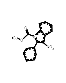 CC(C)(C)OC(=O)n1c(-c2ccccc2)c([N+](=O)[O-])c2ccccc21